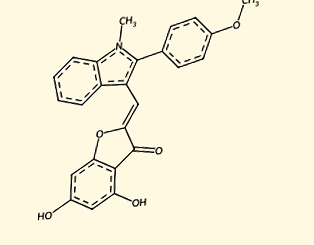 COc1ccc(-c2c(C=C3Oc4cc(O)cc(O)c4C3=O)c3ccccc3n2C)cc1